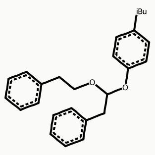 CCC(C)c1ccc(OC(Cc2ccccc2)OCCc2ccccc2)cc1